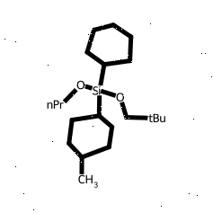 CCCO[Si](OCC(C)(C)C)(C1CCCCC1)C1CCC(C)CC1